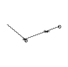 CCCCCCCCCCCCCCCCCC[C@H](C)[C@H](CCCCCCCCCCCCCCCC[C@H](C)[C@H]1C[C@H]1CCCCCCCCC=O)OC